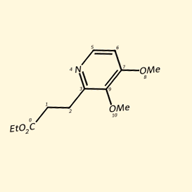 CCOC(=O)CCc1nccc(OC)c1OC